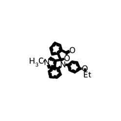 CCOc1ccc(N(c2ccccc2)C2(c3ccn(C)c3)OC(=O)c3ccccc32)cc1